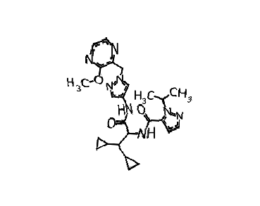 COc1nccnc1Cn1cc(NC(=O)C(NC(=O)c2ccnn2C(C)C)C(C2CC2)C2CC2)cn1